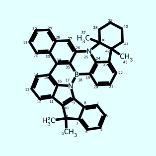 CC1(C)c2ccccc2-c2c1c1cccc3c1n2B1c2cccc4c2N(c2cc5ccccc5c-3c21)C1(C)CCCCC41C